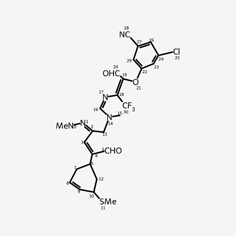 CN/N=C(\C=C(/C=O)C1CC=CC(SC)C1)CN(C)/C=N\C(=C(/C=O)Oc1cc(Cl)cc(C#N)c1)C(F)(F)F